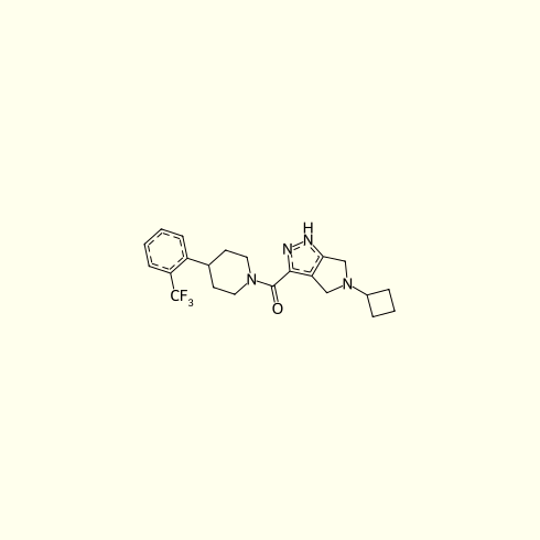 O=C(c1n[nH]c2c1CN(C1CCC1)C2)N1CCC(c2ccccc2C(F)(F)F)CC1